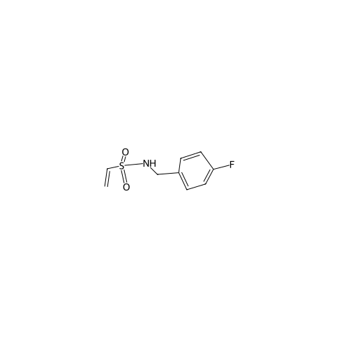 C=CS(=O)(=O)NCc1ccc(F)cc1